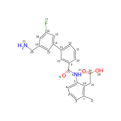 Cc1cccc(NC(=O)c2cccc(-c3cc(F)cc(CN)c3)c2)c1CC(=O)O